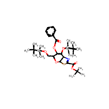 CC(C)(C)OC(=O)C1=NC2C(OC(CO[Si](C)(C)C(C)(C)C)C(OC(=O)c3ccccc3)C2O[Si](C)(C)C(C)(C)C)S1